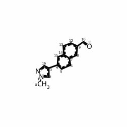 Cn1cc(-c2ccc3cc(C=O)ccc3c2)cn1